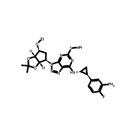 CCCSc1nc(N[C@@H]2C[C@H]2c2ccc(F)c(P)c2)c2nnn([C@@H]3C[C@H](OCC)[C@H]4OC(C)(C)O[C@H]43)c2n1